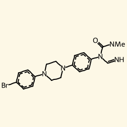 CNC(=O)N(C=N)c1ccc(N2CCN(c3ccc(Br)cc3)CC2)cc1